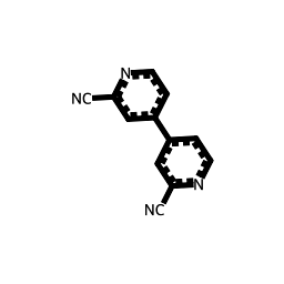 N#Cc1cc(-c2ccnc(C#N)c2)ccn1